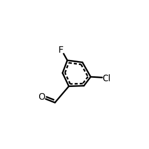 O=Cc1cc(F)cc(Cl)c1